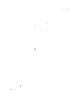 C=C[C@H]1CC[C@H]([C@H]2CC[C@H](COc3ccc(OCC=CC)c(F)c3F)CC2)CC1